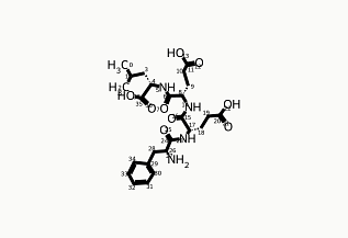 CC(C)C[C@H](NC(=O)[C@H](CCC(=O)O)NC(=O)[C@H](CCC(=O)O)NC(=O)[C@@H](N)Cc1ccccc1)C(=O)O